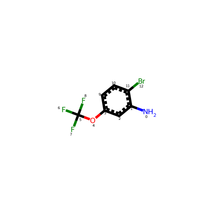 Nc1cc(OC(F)(F)F)ccc1Br